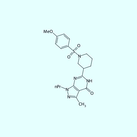 CCCn1nc(C)c2c(=O)[nH]c(C3CCCN(S(=O)(=O)c4ccc(OC)cc4)C3)nc21